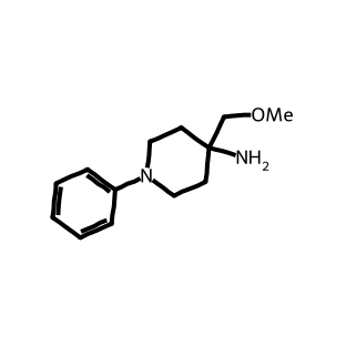 COCC1(N)CCN(c2ccccc2)CC1